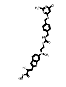 CN(CCOC(=O)NCc1ccc(COc2cc(Cl)nc(N)n2)cc1)c1ccc2cc(/C=C(\C#N)C(=O)OC(C)(C)C)sc2c1